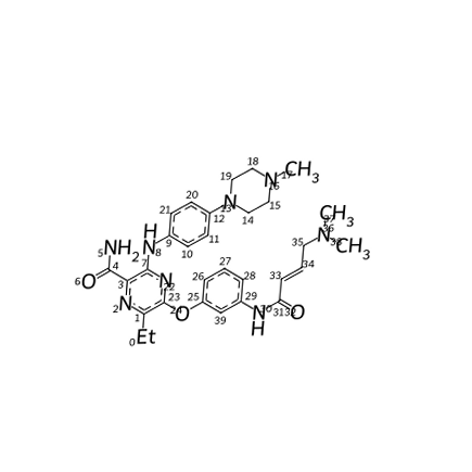 CCc1nc(C(N)=O)c(Nc2ccc(N3CCN(C)CC3)cc2)nc1Oc1cccc(NC(=O)C=CCN(C)C)c1